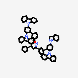 c1ccc(-c2cc(-c3cccc(-c4cc(N5CCc6ccccc65)ccc4-n4c5ccccc5c5ccccc54)c3)nc(-c3cccc(-c4cc(-n5c6ccccc6c6ccccc65)ccc4-n4c5ccccc5c5ccccc54)c3)c2)cc1